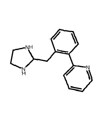 [c]1cccc(-c2ccccn2)c1CC1NCCN1